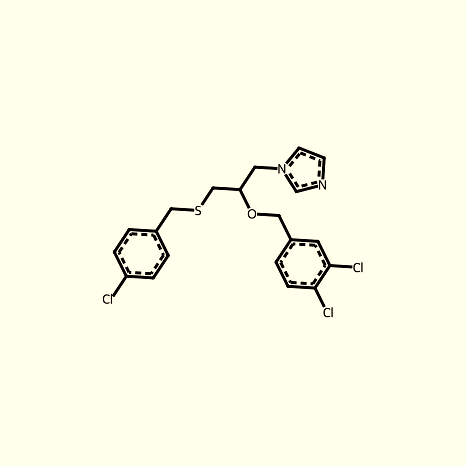 Clc1ccc(CSCC(Cn2ccnc2)OCc2ccc(Cl)c(Cl)c2)cc1